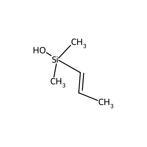 CC=C[Si](C)(C)O